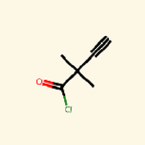 C#CC(C)(C)C(=O)Cl